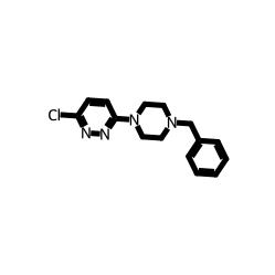 Clc1ccc(N2CCN(Cc3ccccc3)CC2)nn1